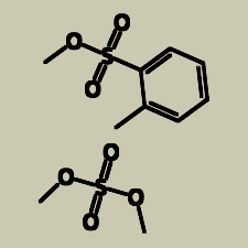 COS(=O)(=O)OC.COS(=O)(=O)c1ccccc1C